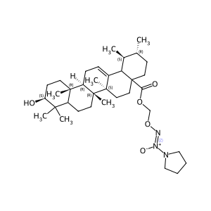 C[C@@H]1CCC2(C(=O)OCO/N=[N+](\[O-])N3CCCC3)CC[C@]3(C)C(=CC[C@@H]4[C@@]5(C)CC[C@H](O)C(C)(C)C5CC[C@]43C)C2[C@H]1C